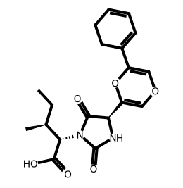 CC[C@H](C)[C@@H](C(=O)O)N1C(=O)N[C@H](C2=COC=C(C3=CC=CCC3)O2)C1=O